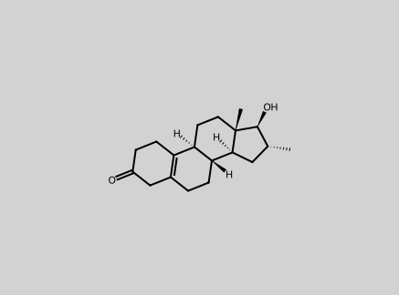 C[C@@H]1C[C@H]2[C@@H]3CCC4=C(CCC(=O)C4)[C@H]3CC[C@]2(C)[C@H]1O